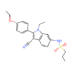 CCCS(=O)(=O)Nc1ccc2c(C#N)c(-c3ccc(OCC)cc3)n(CC)c2c1